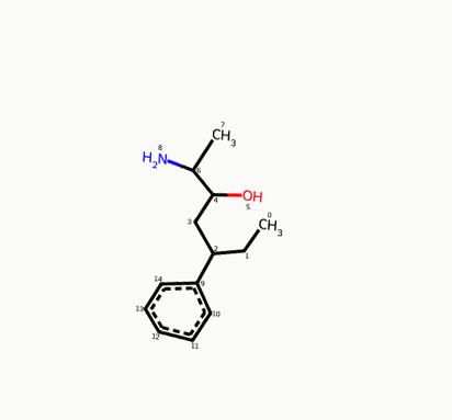 CCC(CC(O)C(C)N)c1ccccc1